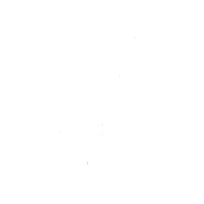 CN(C)CCCn1ccc2cc(-c3ccn(C(c4ccncc4)c4ccc[nH]4)n3)ccc21